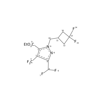 CCOC(=O)c1c(C(F)(F)F)c(C(F)F)nn1CC1CC(F)(F)C1